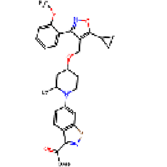 CCC1C[C@@H](OCc2c(-c3ccccc3OC(F)(F)F)noc2C2CC2)CCN1c1ccc2c(C(=O)OC)nsc2c1